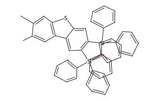 Cc1cc2sc3cc([Si](c4ccccc4)(c4ccccc4)c4ccccc4)c([Si](c4ccccc4)(c4ccccc4)c4ccccc4)cc3c2cc1C